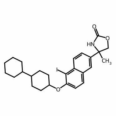 CC1(c2ccc3c(I)c(OC4CCC(C5CCCCC5)CC4)ccc3c2)COC(=O)N1